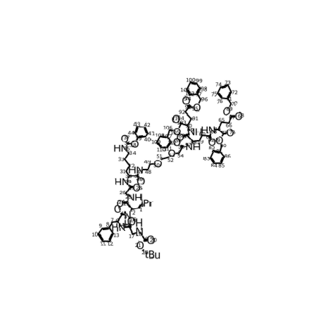 CC(C)CC(NC(=O)C(Cc1ccccc1)NC(=O)CNC(=O)OC(C)(C)C)C(=O)NCC(=O)NC(CCCCNC(=O)Oc1ccccc1)C(=O)NCCOCCOCC(=O)NC(CCC(=O)NC(CCC(=O)OCc1ccccc1)C(=O)OCc1ccccc1)C(=O)NC(CCC(=O)OCc1ccccc1)C(=O)OCc1ccccc1